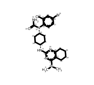 CN(C)c1nc(N[C@H]2CC[C@@H](N(C(N)=O)c3ccc(Br)cc3Cl)CC2)nc2c1CCCC2